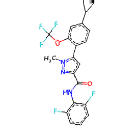 Cn1nc(C(=O)Nc2c(F)cccc2F)cc1-c1ccc(C2CC2)cc1OC(F)(F)F